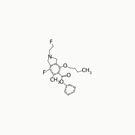 CCCCOc1c2c(c(F)c(C)c1C(=O)Oc1ccccc1)CN(CCF)C2